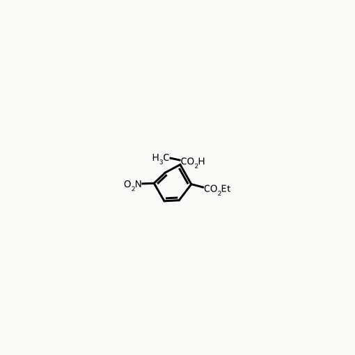 CC(=O)O.CCOC(=O)c1ccc([N+](=O)[O-])cc1